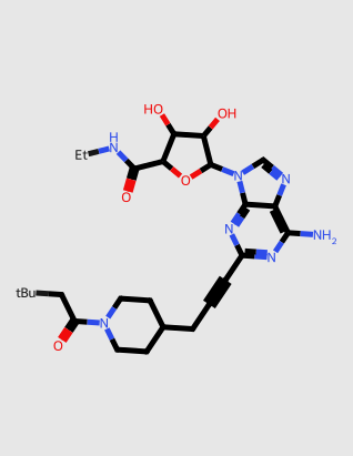 CCNC(=O)C1OC(n2cnc3c(N)nc(C#CCC4CCN(C(=O)CC(C)(C)C)CC4)nc32)C(O)C1O